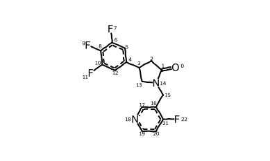 O=C1CC(c2cc(F)c(F)c(F)c2)CN1Cc1cnccc1F